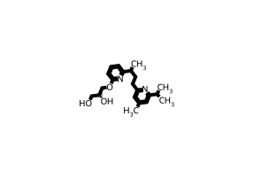 Cc1cc(CCC(C)c2cccc(OC[C@H](O)CO)n2)nc(C(C)C)c1